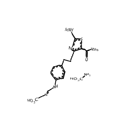 CNC(=O)c1sc(NC(C)=O)nc1CCc1ccc(NC=NC(=O)O)cc1.NC(=O)O